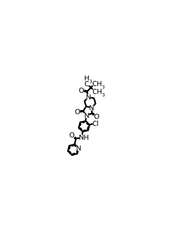 CC(C)(C)C(=O)N1CCN2C(=O)N(c3ccc(NC(=O)c4ccccn4)cc3Cl)C(=O)C2C1